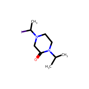 CC(I)N1CCN(C(C)C)C(=O)C1